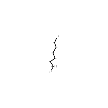 ICCCCCNI